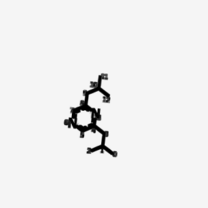 CC(C)Cc1cncc(CC(C)C)n1